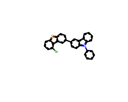 Brc1cccc2sc3ccc(-c4ccc5c(c4)c4ccccc4n5-c4ccccc4)cc3c12